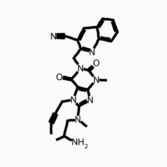 CC#CCn1c(N(C)CC(C)N)nc2c1c(=O)n(Cc1nc3ccccc3cc1C#N)c(=O)n2C